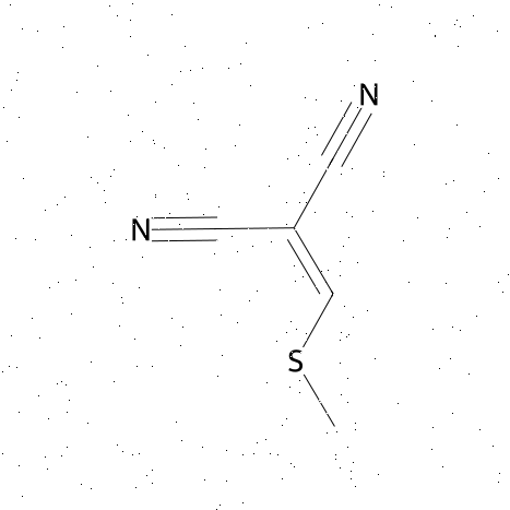 CSC=C(C#N)C#N